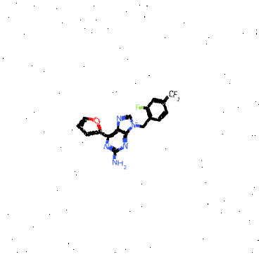 Nc1nc(-c2ccco2)c2ncn(Cc3ccc(C(F)(F)F)cc3F)c2n1